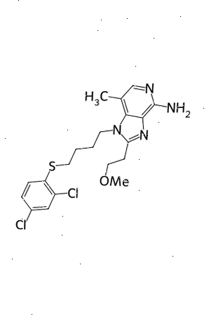 COCCc1nc2c(N)ncc(C)c2n1CCCCSc1ccc(Cl)cc1Cl